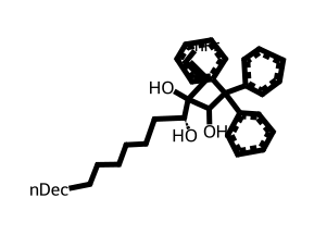 CCCC=CC(O)(C(O)C(c1ccccc1)(c1ccccc1)c1ccccc1)[C@H](O)CCCCCCCCCCCCCCCC